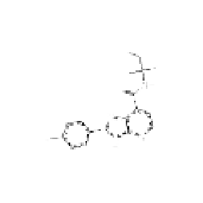 CCC(C)(C)NC(=O)c1ccnc2[nH]c(-c3ccc(F)cc3)nc12